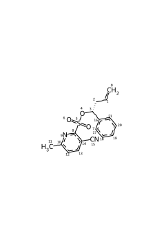 C=CC[C@@H](OS(=O)(=O)c1nc(C)ccc1C#N)c1ccccc1